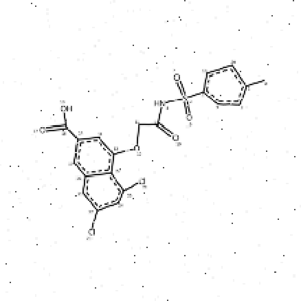 Cc1ccc(S(=O)(=O)NC(=O)COc2cc(C(=O)O)cc3cc(Cl)cc(Cl)c23)cc1